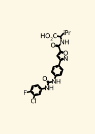 CC(C)C(NC(=O)c1cc(-c2ccc(NC(=O)Nc3ccc(F)c(Cl)c3)cc2)no1)C(=O)O